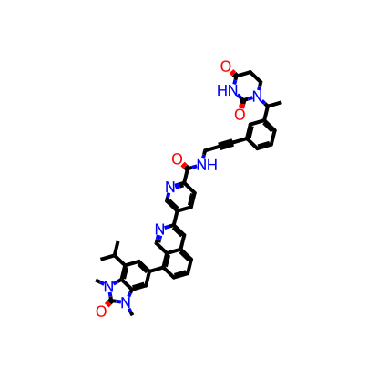 CC(C)c1cc(-c2cccc3cc(-c4ccc(C(=O)NCC#Cc5cccc(C(C)N6CCC(=O)NC6=O)c5)nc4)ncc23)cc2c1n(C)c(=O)n2C